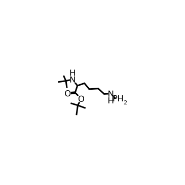 CC(C)(C)NC(CCCCNP)C(=O)OC(C)(C)C